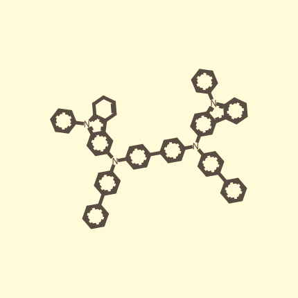 C1=Cc2c(n(-c3ccccc3)c3ccc(N(c4ccc(-c5ccccc5)cc4)c4ccc(-c5ccc(N(c6ccc(-c7ccccc7)cc6)c6ccc7c(c6)c6ccccc6n7-c6ccccc6)cc5)cc4)cc23)CC1